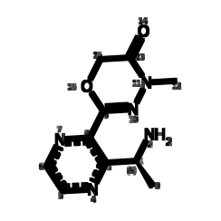 C[C@H](N)c1nccnc1C1=NN(C)C(=O)CO1